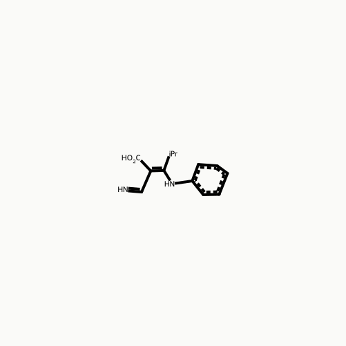 CC(C)/C(Nc1ccccc1)=C(/C=N)C(=O)O